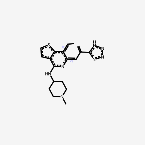 C=C(/C=c1/nc(NC2CCN(C)CC2)c2ccsc2/c1=C/C)c1nnn[nH]1